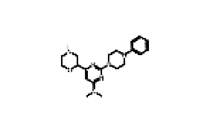 CN(C)c1cc(C2CNCCO2)nc(N2CCN(c3ccccc3)CC2)n1